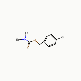 CCc1ccc(CSC(=S)N(CC)CC)cc1